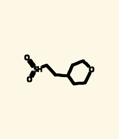 O=[SH](=O)CCC1CCOCC1